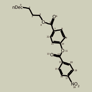 CCCCCCCCCCCCCOC(=O)c1ccc(OC(=O)c2ccc([N+](=O)[O-])cc2)cc1